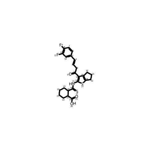 O=C(C/C=C/c1ccc(F)c(F)c1)c1c(NC(=S)C2CCCCC2C(=O)O)sc2c1CCC2